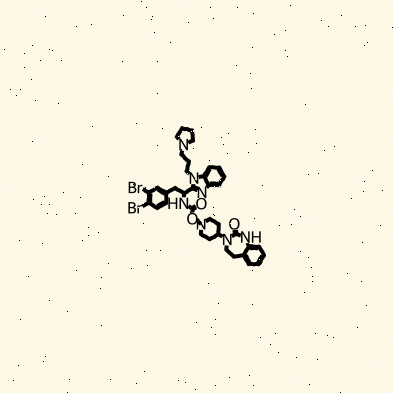 O=C(NC(Cc1ccc(Br)c(Br)c1)c1nc2ccccc2n1CCCN1CCCC1)ON1CCC(N2CCc3ccccc3NC2=O)CC1